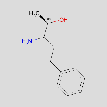 C[C@@H](O)C(N)CCc1ccccc1